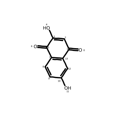 O=C1C=C(O)C(=O)c2ccc(O)cc21